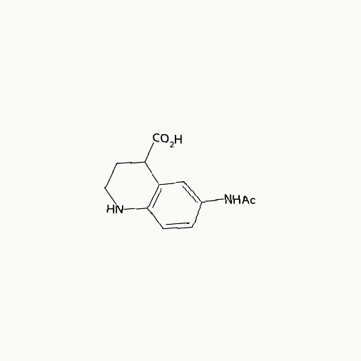 CC(=O)Nc1ccc2c(c1)C(C(=O)O)CCN2